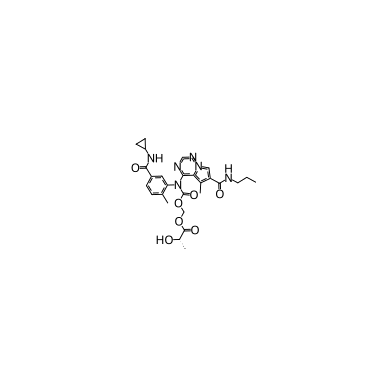 CCCNC(=O)c1cn2ncnc(N(C(=O)OCOC(=O)[C@H](C)O)c3cc(C(=O)NC4CC4)ccc3C)c2c1C